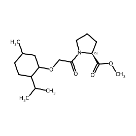 COC(=O)[C@@H]1CCCN1C(=O)COC1CC(C)CCC1C(C)C